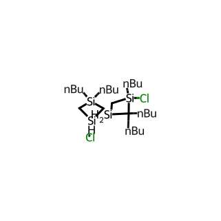 CCCCC1(CCCC)[SiH2]C[Si]1(Cl)CCCC.CCCC[Si]1(CCCC)C[SiH](Cl)C1